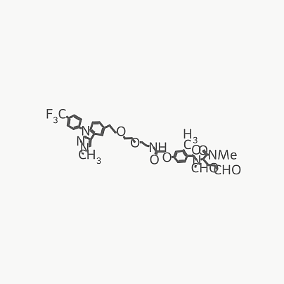 CNC(=O)C(CCC=O)N(C=O)C(=O)c1ccc(OCC(=O)NCCOCCOCCc2ccc3c(c2)c2cn(C)nc2n3-c2ccc(C(F)(F)F)cc2)cc1C